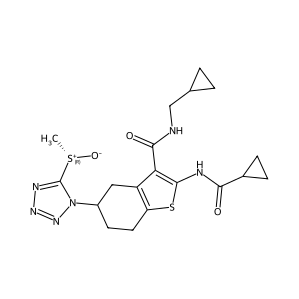 C[S@+]([O-])c1nnnn1C1CCc2sc(NC(=O)C3CC3)c(C(=O)NCC3CC3)c2C1